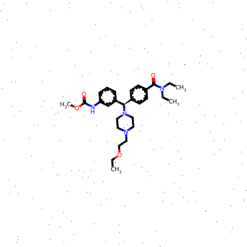 CCOCCN1CCN([C@H](c2ccc(C(=O)N(CC)CC)cc2)c2cccc(NC(=O)OC)c2)CC1